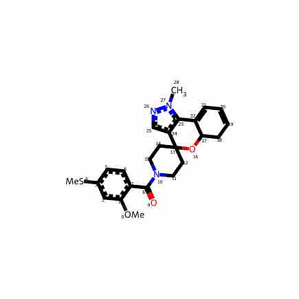 COc1cc(SC)ccc1C(=O)N1CCC2(CC1)OC1CC=CC=C1c1c2cnn1C